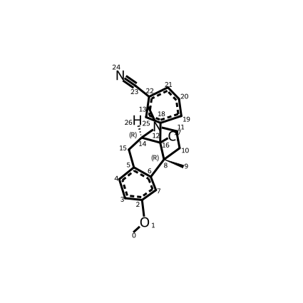 COc1ccc2c(c1)[C@@]1(C)CCN(C)[C@H](C2)C1(Cl)c1cccc(C#N)c1